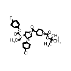 CCN(C(=O)Oc1ccc(F)cc1)[C@@H]1CN(C(=O)C2CCN(C(=O)OC(C)(C)C)CC2)C[C@H]1c1ccc(Cl)cc1